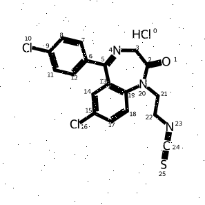 Cl.O=C1CN=C(c2ccc(Cl)cc2)c2cc(Cl)ccc2N1CCN=C=S